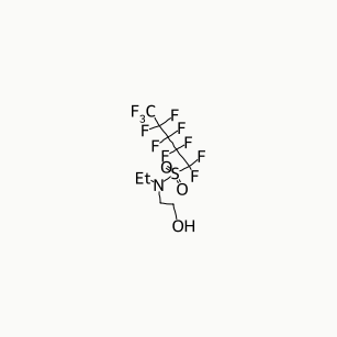 CCN(CCO)S(=O)(=O)C(F)(F)C(F)(F)C(F)(F)C(F)(F)C(F)(F)F